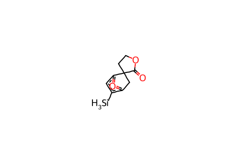 O=C1OCCC12Cc1oc2cc1[SiH3]